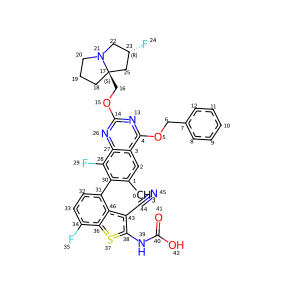 Cc1cc2c(OCc3ccccc3)nc(OC[C@@]34CCCN3C[C@H](F)C4)nc2c(F)c1-c1ccc(F)c2sc(NC(=O)O)c(C#N)c12